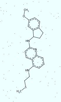 COc1ccc2c(c1)C(Nc1ccc3c(NCCSC)cccc3n1)CC2